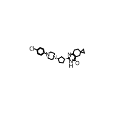 O=c1[nH]c([C@H]2CC[C@H](N3CCN(c4ccc(Cl)cc4)CC3)C2)nc2c1CC1(CC2)CC1